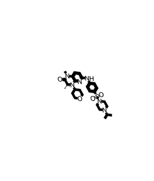 CC(C)N1CCN(S(=O)(=O)c2ccc(Nc3ccc4c(n3)N(C3CCOCC3)[C@H](C)C(=O)N4C)cc2)CC1